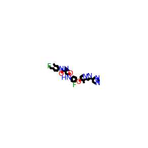 C=N/C(=C\c1nccc(Oc2ccc(NC(=O)CC3(C(=O)NC(/C=C\CCF)=C/CC)CC3)cc2F)c1C)C1=CN=CN=CC1